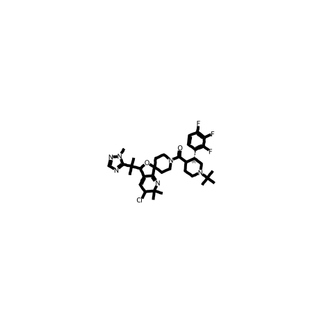 Cn1ncnc1C(C)(C)C1OC2(CCN(C(=O)C3CCN(C(C)(C)C)C[C@H]3c3ccc(F)c(F)c3F)CC2)C2=NC(C)(C)C(Cl)C=C21